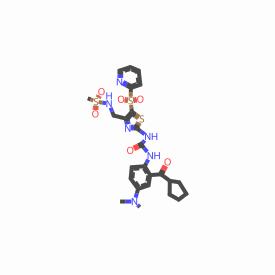 CN(C)c1ccc(NC(=O)Nc2nc(CNS(C)(=O)=O)c(S(=O)(=O)c3ccccn3)s2)c(C(=O)C2CCCC2)c1